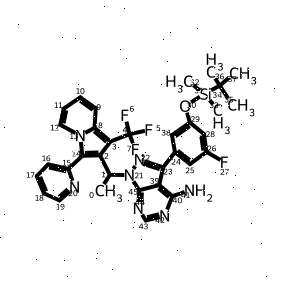 CC(c1c(C(F)(F)F)c2ccccn2c1-c1ccccn1)n1nc(-c2cc(F)cc(O[Si](C)(C)C(C)(C)C)c2)c2c(N)ncnc21